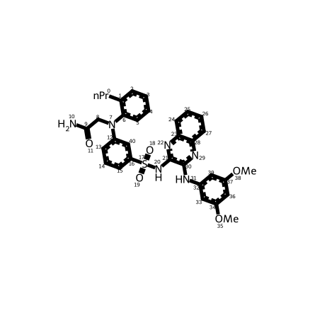 CCCc1ccccc1N(CC(N)=O)c1cccc(S(=O)(=O)Nc2nc3ccccc3nc2Nc2cc(OC)cc(OC)c2)c1